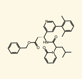 Cc1cccc(C)c1-c1cncc([C@@H](CC(=O)OCc2ccccc2)NC(=O)C(CC(C)C)n2ccccc2=O)c1